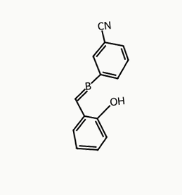 N#Cc1cccc(/B=C/c2ccccc2O)c1